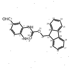 Nc1ccc([C]=O)cc1NC(=O)OCC1c2ccccc2-c2ccccc21